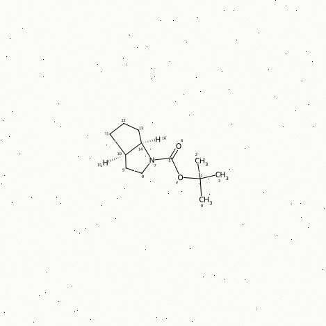 CC(C)(C)OC(=O)N1CC[C@H]2CCC[C@H]21